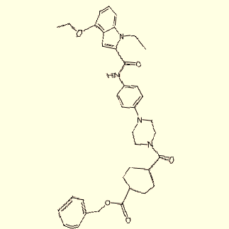 CCOc1cccc2c1cc(C(=O)Nc1ccc(N3CCN(C(=O)C4CCC(C(=O)OCc5ccccc5)CC4)CC3)cc1)n2CC